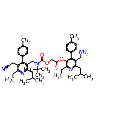 CCc1nc(CC(C)C)c(CN(C(=O)OCC(=O)Oc2c(CC)nc(CC(C)C)c(CN)c2-c2ccc(C)cc2)C(C)(C)C)c(-c2ccc(C)cc2)c1CC#N